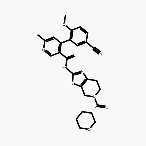 COc1ccc(C#N)cc1-c1cc(C)ncc1C(=O)Nc1nc2c(s1)CN(C(=O)[C@H]1CCCOC1)CC2